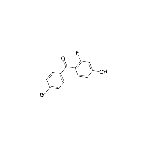 O=C(c1ccc(Br)cc1)c1ccc(O)cc1F